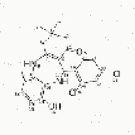 CC1(C)CC(=O)C2=C(C1)Nc1ncnc(O)c1NC2c1ccc(Cl)cc1Cl